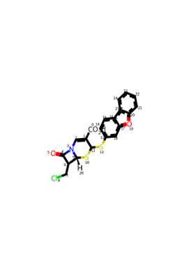 O=C(O)C1=CN2C(=O)C(CCl)[C@H]2SC1Sc1ccc2c(c1)oc1ccccc12